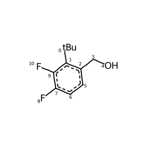 CC(C)(C)c1c(CO)ccc(F)c1F